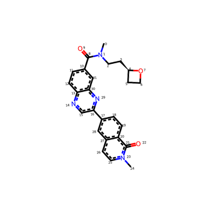 CN(CC[C@@H]1CCO1)C(=O)c1ccc2ncc(-c3ccc4c(=O)n(C)ccc4c3)nc2c1